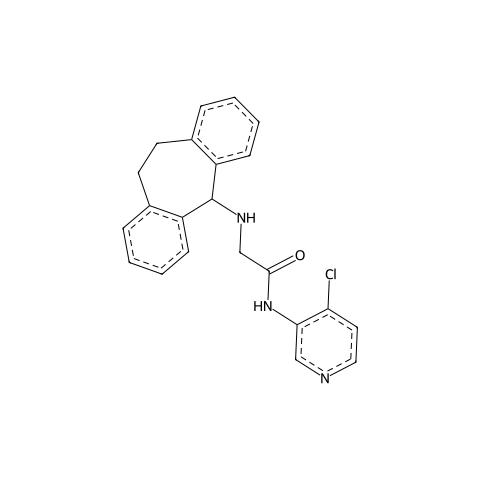 O=C(CNC1c2ccccc2CCc2ccccc21)Nc1cnccc1Cl